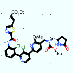 CCOC(=O)/C=C/c1cnc(C(=O)Nc2cccc(-c3nccc(-c4ccc(CN(C[C@@H]5CCC(=O)N5)C(=O)OC(C)(C)C)c(OC)n4)c3Cl)c2Cl)s1